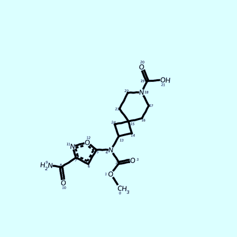 COC(=O)N(c1cc(C(N)=O)no1)C1CC2(CCN(C(=O)O)CC2)C1